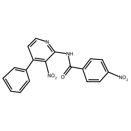 O=C(Nc1nccc(-c2ccccc2)c1[N+](=O)[O-])c1ccc([N+](=O)[O-])cc1